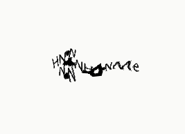 CNc1ccc(CNc2ncnc3[nH]cnc23)cc1